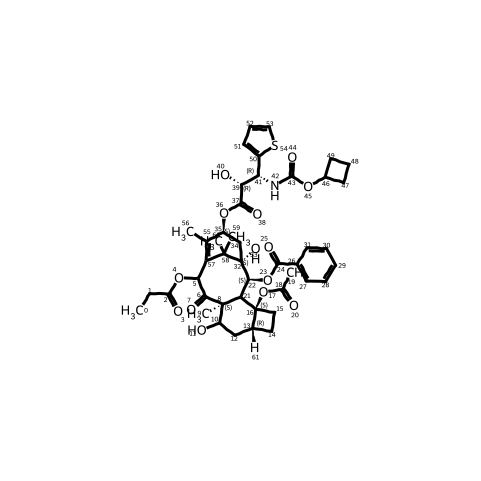 CCC(=O)OC1C(=O)[C@]2(C)C(O)C[C@H]3CC[C@@]3(OC(C)=O)C2[C@H](OC(=O)c2ccccc2)[C@]2(O)C[C@H](OC(=O)[C@H](O)[C@@H](NC(=O)OC3CCC3)c3cccs3)C(C)=C1C2(C)C